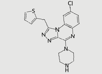 Clc1ccc2nc(N3CCNCC3)c3nnc(Cc4cccs4)n3c2c1